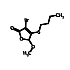 CCCCSC1=C(Br)C(=O)OC1OC